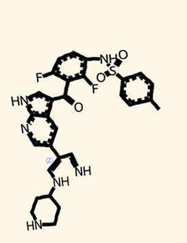 Cc1ccc(S(=O)(=O)Nc2ccc(F)c(C(=O)c3c[nH]c4ncc(/C(C=N)=C/NC5CCNCC5)cc34)c2F)cc1